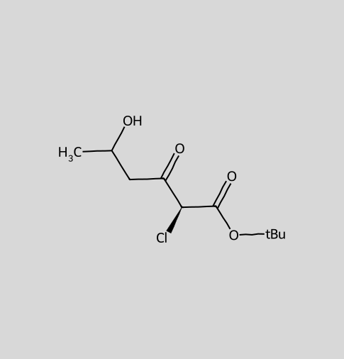 CC(O)CC(=O)[C@H](Cl)C(=O)OC(C)(C)C